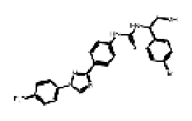 OCC(NC(=S)Nc1ccc(-c2ncn(-c3ccc(C(F)(F)F)cc3)n2)cc1)c1ccc(Br)cc1